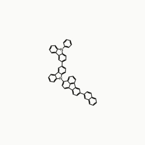 c1ccc(-n2c3ccccc3c3cc(-c4ccc5c(c4)c4ccccc4n5-c4ccc5c6c(cccc46)-c4cc(-c6ccc7ccccc7c6)ccc4-5)ccc32)cc1